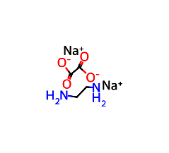 NCCN.O=C([O-])C(=O)[O-].[Na+].[Na+]